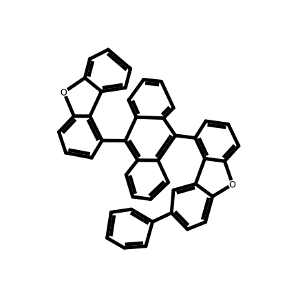 c1ccc(-c2ccc3oc4cccc(-c5c6ccccc6c(-c6cccc7oc8ccccc8c67)c6ccccc56)c4c3c2)cc1